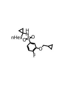 CCCCCCC1(NS(=O)(=O)c2ccc(F)c(OCC3CC3)c2)CC1